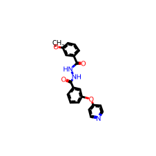 COc1cccc(C(=O)NNC(=O)c2cccc(Oc3ccncc3)c2)c1